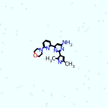 CC1=CC(c2nc(N)cc(-c3cccc(N4CCOCC4)n3)n2)C(C)=N1